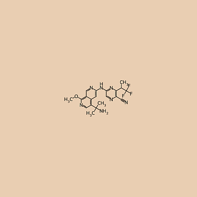 COc1ncc(C(C)(C)N)c2cc(Nc3cnc(C#N)c(C(C)C(F)(F)F)n3)ncc12